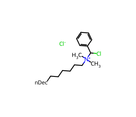 CCCCCCCCCCCCCCCC[N+](C)(C)C(Cl)c1ccccc1.[Cl-]